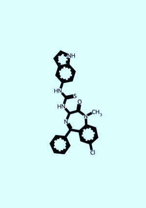 CN1C(=O)C(NC(=S)Nc2ccc3[nH]ccc3c2)N=C(c2ccccc2)c2cc(Cl)ccc21